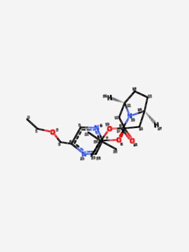 CCOCc1cnc(O[C@H]2C[C@H]3CC[C@@H](C2)N3C(=O)OC(C)(C)C)cn1